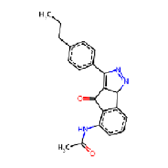 CCCc1ccc(C2=C3C(=O)c4c(NC(C)=O)cccc4C3N=N2)cc1